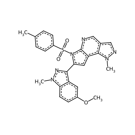 COc1ccc2c(c1)c(-c1cc3c4c(cnc3n1S(=O)(=O)c1ccc(C)cc1)cnn4C)nn2C